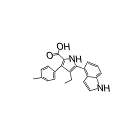 CCc1c(-c2cccc3[nH]ccc23)[nH]c(C(=O)O)c1-c1ccc(C)cc1